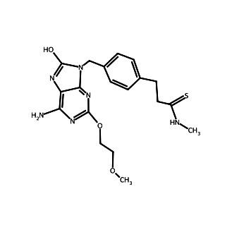 CNC(=S)CCc1ccc(Cn2c(O)nc3c(N)nc(OCCOC)nc32)cc1